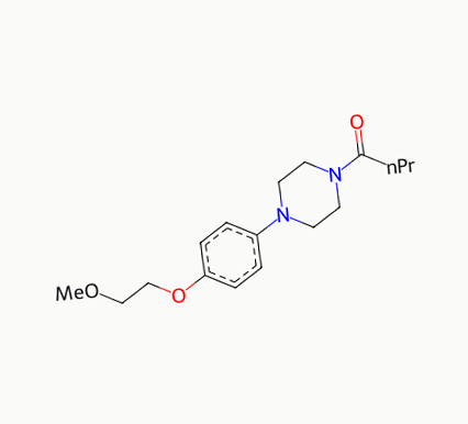 CCCC(=O)N1CCN(c2ccc(OCCOC)cc2)CC1